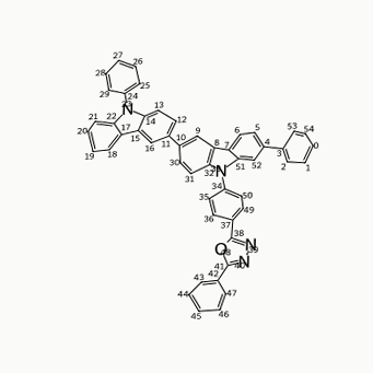 c1ccc(-c2ccc3c4cc(-c5ccc6c(c5)c5ccccc5n6-c5ccccc5)ccc4n(-c4ccc(-c5nnc(-c6ccccc6)o5)cc4)c3c2)cc1